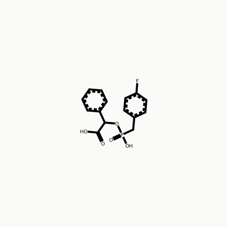 O=C(O)C(OP(=O)(O)Cc1ccc(F)cc1)c1ccccc1